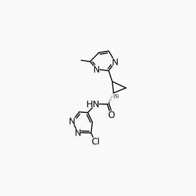 Cc1ccnc(C2C[C@@H]2C(=O)Nc2cnnc(Cl)c2)n1